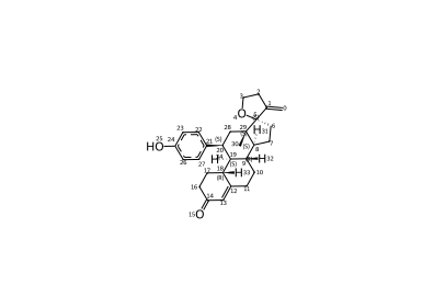 C=C1CCO[C@@]12CC[C@H]1[C@@H]3CCC4=CC(=O)CC[C@@H]4[C@H]3[C@@H](c3ccc(O)cc3)C[C@@]12C